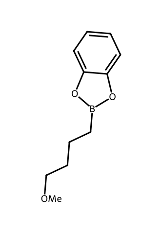 COCCCCB1Oc2ccccc2O1